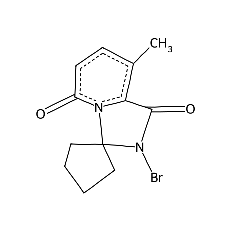 Cc1ccc(=O)n2c1C(=O)N(Br)C21CCCC1